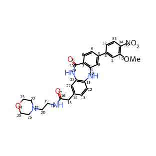 COc1cc(-c2ccc3c(c2)Nc2ccc(CC(=O)NCCN4CCOCC4)cc2NC3=O)ccc1[N+](=O)[O-]